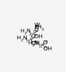 NCC(=O)O.NCC(=O)O.NCC(=O)O.P.[W]